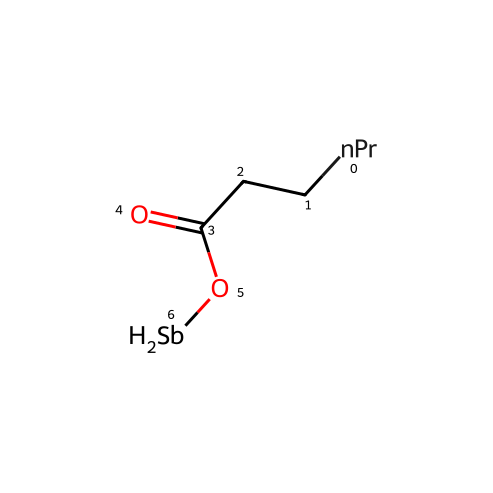 CCCCCC(=O)[O][SbH2]